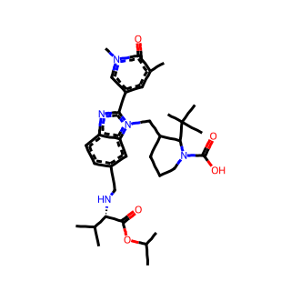 Cc1cc(-c2nc3ccc(CN[C@H](C(=O)OC(C)C)C(C)C)cc3n2CC2CCCN(C(=O)O)C2C(C)(C)C)cn(C)c1=O